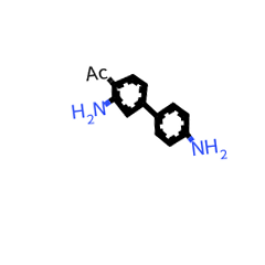 CC(=O)c1ccc(-c2ccc(N)cc2)cc1N